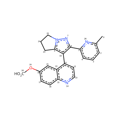 Cc1cccc(-c2nn3c(c2-c2ccnc4ccc(OC(=O)O)cc24)CCC3)n1